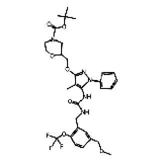 COCc1ccc(OC(F)(F)F)c(CNC(=O)Nc2c(C)c(OCC3CN(C(=O)OC(C)(C)C)CCO3)nn2-c2ccccc2)c1